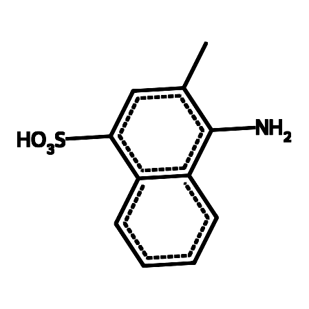 Cc1cc(S(=O)(=O)O)c2ccccc2c1N